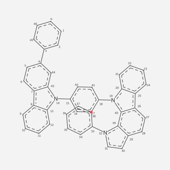 c1ccc(-c2ccc3c4ccccc4n(-c4ccc(-n5c6ccccc6c6ccc7ccn(-c8ccccc8)c7c65)cc4)c3c2)cc1